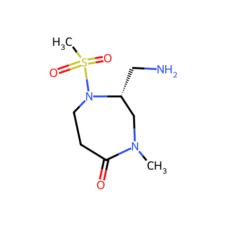 CN1C[C@@H](CN)N(S(C)(=O)=O)CCC1=O